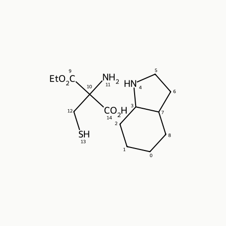 C1CCC2NCCC2C1.CCOC(=O)C(N)(CS)C(=O)O